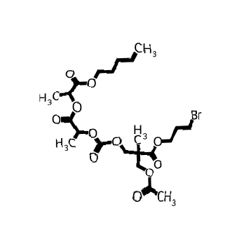 CCCCCOC(=O)C(C)OC(=O)C(C)OC(=O)OCC(C)(COC(C)=O)C(=O)OCCCBr